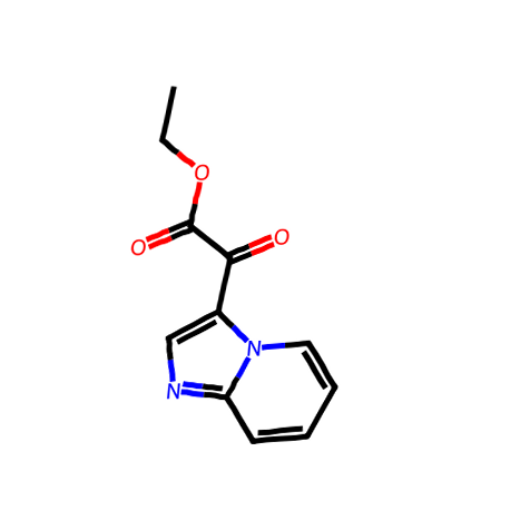 CCOC(=O)C(=O)c1cnc2ccccn12